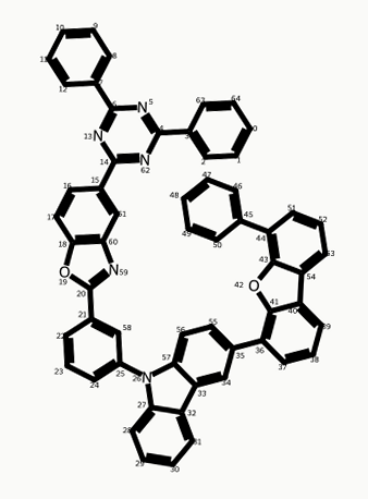 c1ccc(-c2nc(-c3ccccc3)nc(-c3ccc4oc(-c5cccc(-n6c7ccccc7c7cc(-c8cccc9c8oc8c(-c%10ccccc%10)cccc89)ccc76)c5)nc4c3)n2)cc1